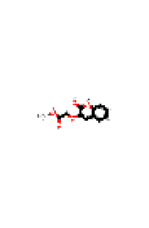 COC(=O)COc1[c]c2ccccc2oc1=O